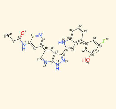 CC(C)CC(=O)Nc1cncc(-c2cnc3[nH]nc(-c4cc5c(-c6cc(O)cc(F)c6)cccc5[nH]4)c3c2)c1